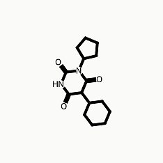 O=C1NC(=O)N(C2CCCC2)C(=O)C1C1CCCCC1